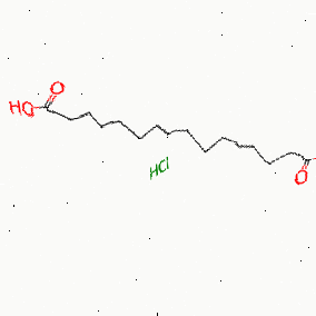 Cl.O=C(O)CCCCCCCCCCCCCCC(=O)O